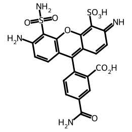 N=c1ccc2c(-c3ccc(C(N)=O)cc3C(=O)O)c3ccc(N)c(S(N)(=O)=O)c3oc-2c1S(=O)(=O)O